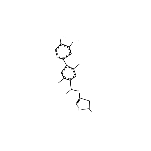 CCC1CC(NC(C)c2cc(F)c(-c3cc(C(C)(C)C)c(OC)cn3)cc2F)=CN1